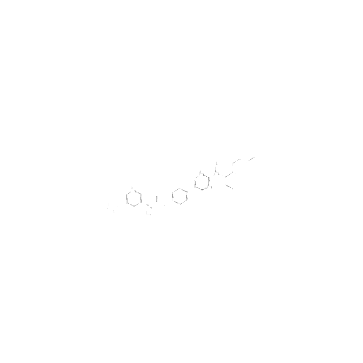 C=C/C(Nc1ncc(-c2ccc(CC(=O)Nc3cncc(C(F)(F)F)c3)cc2)cn1)=C(C)/C=C\C=C/C